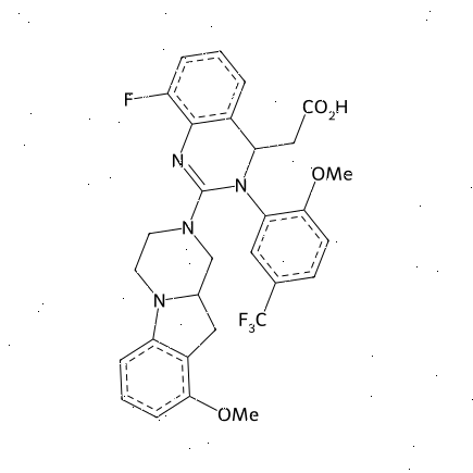 COc1ccc(C(F)(F)F)cc1N1C(N2CCN3c4cccc(OC)c4CC3C2)=Nc2c(F)cccc2C1CC(=O)O